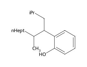 CCCCCCCC(C)C(CC(C)C)c1ccccc1O